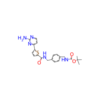 CC(C)(C)OC(=O)NCc1ccc(CNC(=O)c2ccc(-c3ccnc(N)n3)s2)cc1